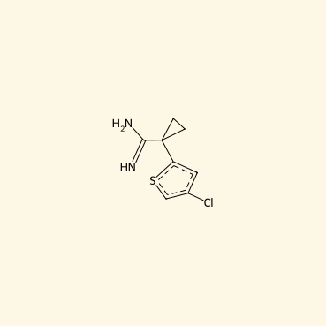 N=C(N)C1(c2cc(Cl)cs2)CC1